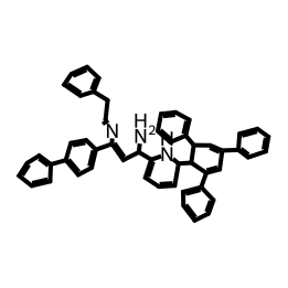 NC(/C=C(\N=C\Cc1ccccc1)c1ccc(-c2ccccc2)cc1)C1=CC=CC(C2C(c3ccccc3)=CC(c3ccccc3)=CC2c2ccccc2)N1